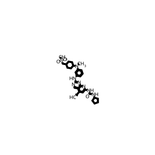 C#Cc1cc(NC(=O)NC2CCCC2)nc2nc(Nc3cccc(N(C)C4CCC(CS(C)(=O)=O)CC4)c3)ncc12